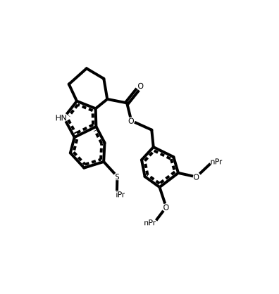 CCCOc1ccc(COC(=O)C2CCCc3[nH]c4ccc(SC(C)C)cc4c32)cc1OCCC